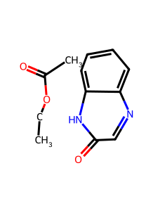 CCOC(C)=O.O=c1cnc2ccccc2[nH]1